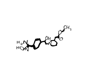 CCOC(=O)CC1CCCN(CC(O)c2ccc(C(N)=NO)cc2)C1